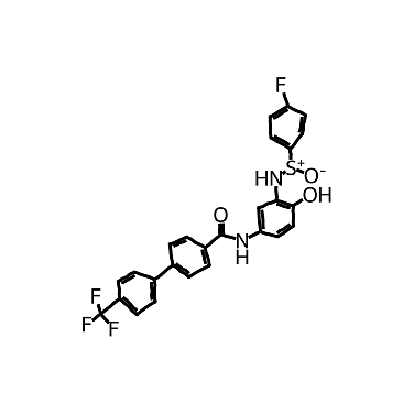 O=C(Nc1ccc(O)c(N[S+]([O-])c2ccc(F)cc2)c1)c1ccc(-c2ccc(C(F)(F)F)cc2)cc1